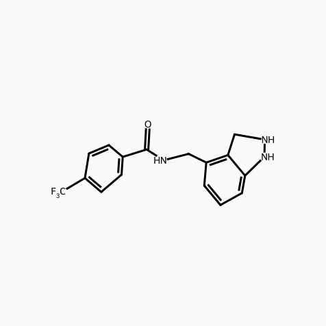 O=C(NCc1cccc2c1CNN2)c1ccc(C(F)(F)F)cc1